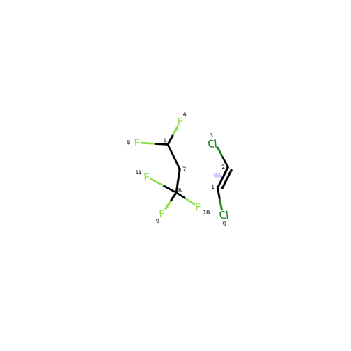 Cl/C=C/Cl.FC(F)CC(F)(F)F